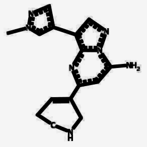 Cn1cc(-c2cnn3c(N)cc(C4=CCCNC4)nc23)cn1